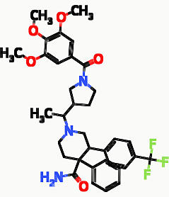 COc1cc(C(=O)N2CCC(C(C)N3CCC(C(N)=O)(c4ccccc4)C(c4ccc(C(F)(F)F)cc4)C3)C2)cc(OC)c1OC